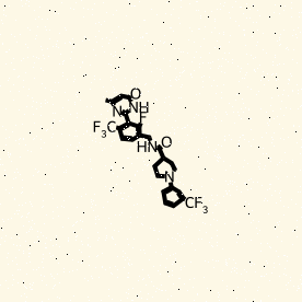 Cc1cc(=O)[nH]c(-c2c(C(F)(F)F)ccc(CNC(=O)C3CCN(c4cccc(C(F)(F)F)c4)CC3)c2F)n1